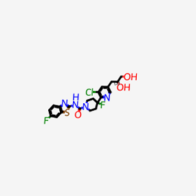 O=C(Nc1nc2ccc(F)cc2s1)N1CCC(F)(c2ncc(C[C@H](O)CO)cc2Cl)CC1